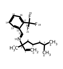 C=CC(C)(CCCC(C)C)N=Cc1ccccc1C(F)(F)F